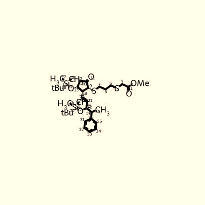 COC(=O)CSCCCS[C@H]1C(=O)C[C@@H](O[Si](C)(C)C(C)(C)C)[C@@H]1C=CC(O[Si](C)(C)C(C)(C)C)C(C)c1ccccc1